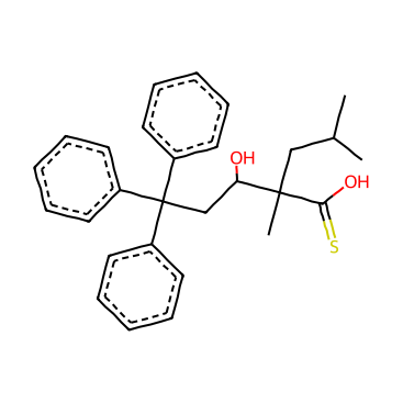 CC(C)CC(C)(C(O)=S)C(O)CC(c1ccccc1)(c1ccccc1)c1ccccc1